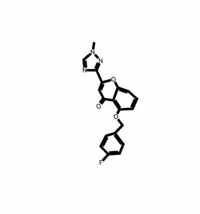 Cn1cnc(-c2cc(=O)c3c(OCc4ccc(F)cc4)cccc3o2)n1